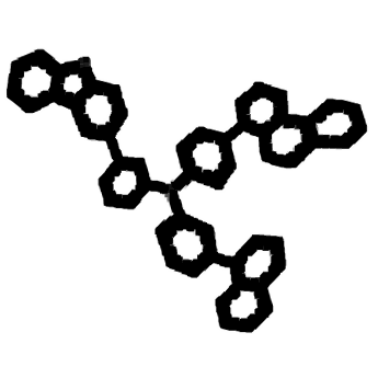 c1cc(-c2ccc3oc4ccccc4c3c2)cc(N(c2ccc(-c3cccc4c3ccc3ccccc34)cc2)c2cccc(-c3cccc4ccccc34)c2)c1